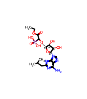 CCOC(=O)C(OC[C@H]1O[C@@H](n2cnc3c(N)nc(CC(C)C)nc32)[C@H](O)[C@@H]1O)P(=O)(O)O